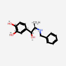 O=C(O)[C@@H](NCc1ccccc1)C(O)c1ccc(O)c(O)c1